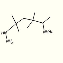 CC(=O)NC(C)C(C)(C)CC(C)(C)NN